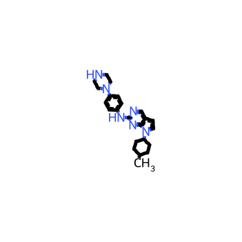 CC1CCC(n2ccc3cnc(Nc4ccc(N5CCNCC5)cc4)nc32)CC1